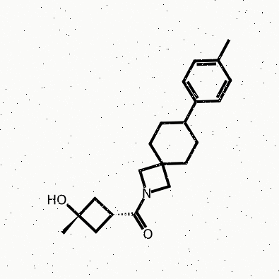 Cc1ccc(C2CCC3(CC2)CN(C(=O)[C@H]2C[C@@](C)(O)C2)C3)cc1